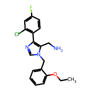 CCOc1ccccc1Cn1cnc(-c2ccc(F)cc2Cl)c1CN